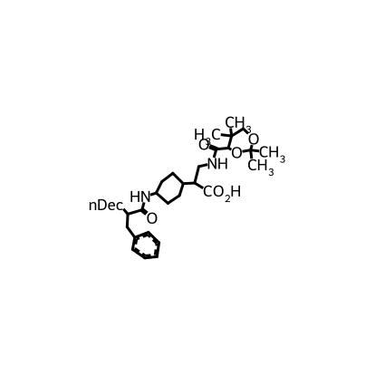 CCCCCCCCCCC(Cc1ccccc1)C(=O)NC1CCC(C(CNC(=O)C2OC(C)(C)OCC2(C)C)C(=O)O)CC1